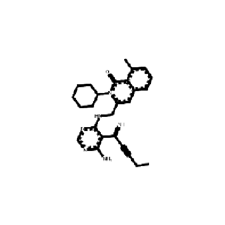 CCC#CC(=N)c1c(N)ncnc1NCc1cc2cccc(C)c2c(=O)n1C1CCCCC1